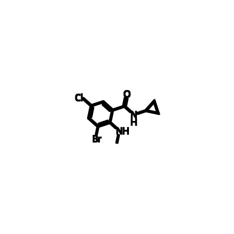 CNc1c(Br)cc(Cl)cc1C(=O)NC1CC1